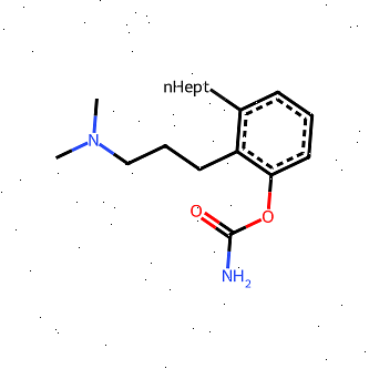 CCCCCCCc1cccc(OC(N)=O)c1CCCN(C)C